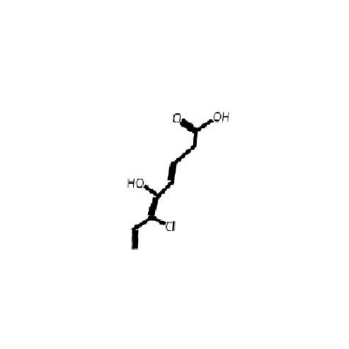 C=CC(Cl)=C(O)C=CCC(=O)O